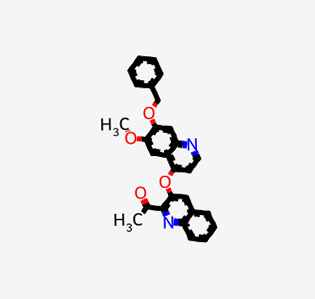 COc1cc2c(Oc3cc4ccccc4nc3C(C)=O)ccnc2cc1OCc1ccccc1